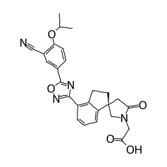 CC(C)Oc1ccc(-c2nc(-c3cccc4c3CC[C@]43CC(=O)N(CC(=O)O)C3)no2)cc1C#N